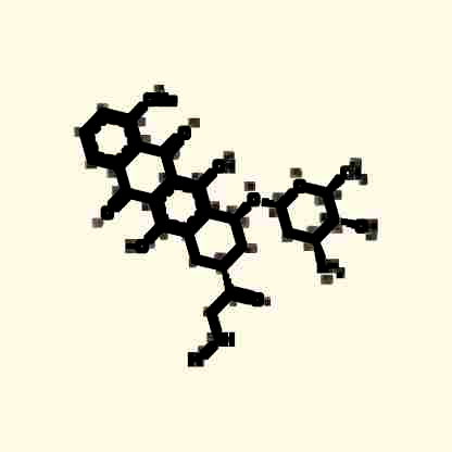 CCNCC(=O)[C@@H]1Cc2c(O)c3c(c(O)c2[C@@H](O[C@H]2C[C@H](N)[C@@H](O)[C@H](C)O2)C1)C(=O)c1c(OC)cccc1C3=O